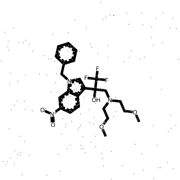 COCCN(CCOC)CC(O)(c1cn(Cc2ccccc2)c2cc([N+](=O)[O-])ccc12)C(F)(F)F